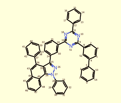 c1ccc(-c2cccc(-c3nc(-c4ccccc4)nc(-c4cccc(-c5nn(-c6ccccc6)c6c5c(-c5ccccc5)cc5ccccc56)c4)n3)c2)cc1